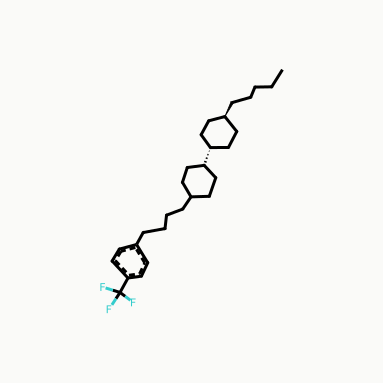 CCCCC[C@H]1CC[C@H](C2CCC(CCCCc3ccc(C(F)(F)F)cc3)CC2)CC1